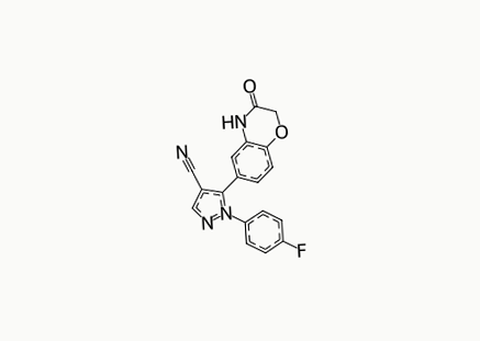 N#Cc1cnn(-c2ccc(F)cc2)c1-c1ccc2c(c1)NC(=O)CO2